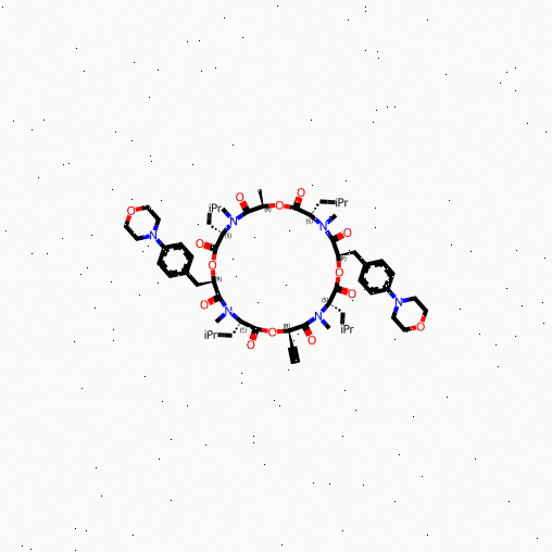 C#C[C@H]1OC(=O)[C@H](CC(C)C)N(C)C(=O)[C@@H](Cc2ccc(N3CCOCC3)cc2)OC(=O)[C@H](CC(C)C)N(C)C(=O)[C@@H](C)OC(=O)[C@H](CC(C)C)N(C)C(=O)[C@@H](Cc2ccc(N3CCOCC3)cc2)OC(=O)[C@H](CC(C)C)N(C)C1=O